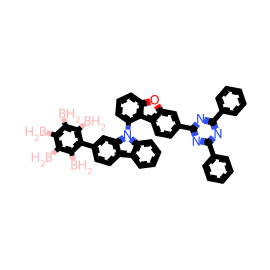 Bc1c(B)c(B)c(-c2ccc3c4ccccc4n(-c4cccc5oc6cc(-c7nc(-c8ccccc8)nc(-c8ccccc8)n7)ccc6c45)c3c2)c(B)c1B